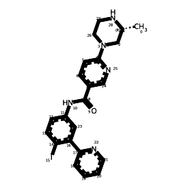 C[C@@H]1CN(c2ccc(C(=O)Nc3ccc(I)c(-c4ccccn4)c3)cn2)CCN1